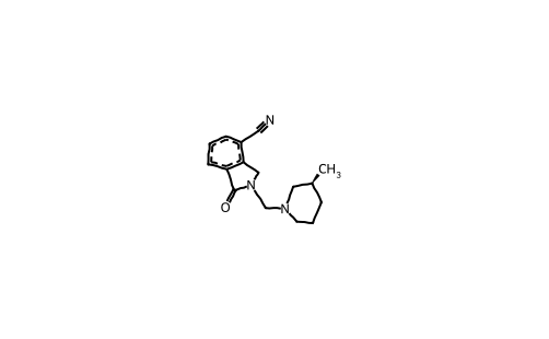 C[C@H]1CCCN(CN2Cc3c(C#N)cccc3C2=O)C1